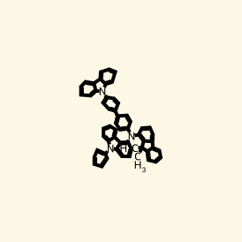 CC1(C)c2ccccc2-c2cccc(N(c3ccc(-c4ccc(-n5c6ccccc6c6ccccc65)cc4)cc3)c3cccc4c3c3ccccc3n4-c3ccccc3)c21